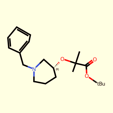 CC(C)(C)OC(=O)C(C)(C)O[C@@H]1CCCN(Cc2ccccc2)C1